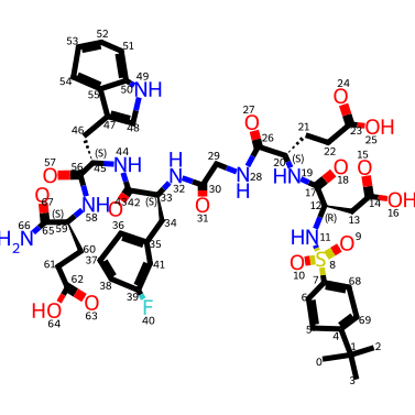 CC(C)(C)c1ccc(S(=O)(=O)N[C@H](CC(=O)O)C(=O)N[C@@H](CCC(=O)O)C(=O)NCC(=O)N[C@@H](Cc2cccc(F)c2)C(=O)N[C@@H](Cc2c[nH]c3ccccc23)C(=O)N[C@@H](CCC(=O)O)C(N)=O)cc1